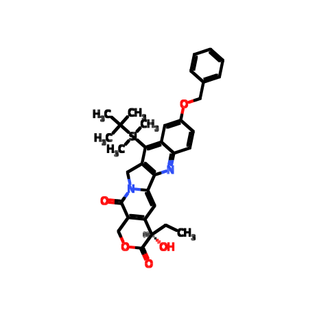 CC[C@@]1(O)C(=O)OCc2c1cc1n(c2=O)Cc2c-1nc1ccc(OCc3ccccc3)cc1c2[Si](C)(C)C(C)(C)C